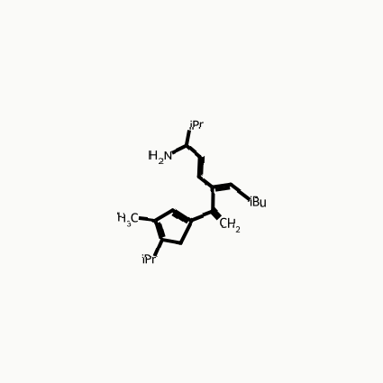 C=C(C1=CC(C)=C(C(C)C)C1)C(=C\C(C)CC)/C=C/C(N)C(C)C